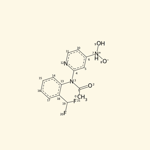 CC(=O)N(c1cc([NH+]([O-])O)ccn1)c1ccccc1C(F)F